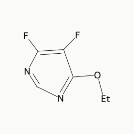 CCOc1ncnc(F)c1F